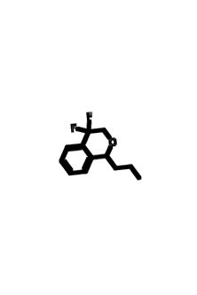 CCCC1OCC(F)(F)c2ccccc21